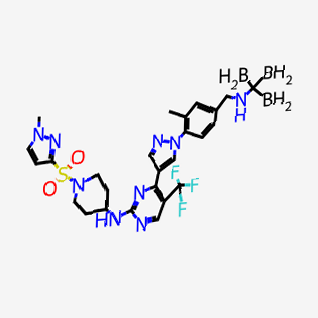 BC(B)(B)NCc1ccc(-n2cc(-c3nc(NC4CCN(S(=O)(=O)c5ccn(C)n5)CC4)ncc3C(F)(F)F)cn2)c(C)c1